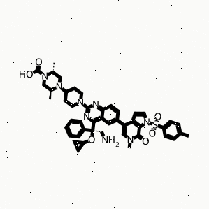 Cc1ccc(S(=O)(=O)n2ccc3c(-c4ccc5nc(N6CCC(N7C[C@@H](C)N(C(=O)O)C[C@@H]7C)CC6)nc([C@@](CN)(OC6CC6)c6ccccc6)c5c4)cn(C)c(=O)c32)cc1